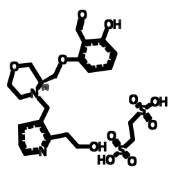 O=Cc1c(O)cccc1OC[C@@H]1COCCN1Cc1cccnc1CCO.O=S(=O)(O)CCS(=O)(=O)O